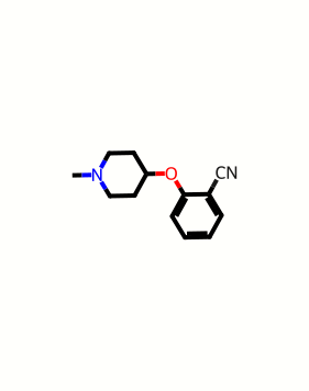 CN1CCC(Oc2ccccc2C#N)CC1